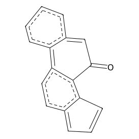 O=C1C=c2ccccc2=c2ccc3c(c21)C=CC=3